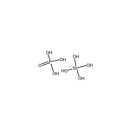 O=P(O)(O)O.[OH][Sn]([OH])([OH])[OH]